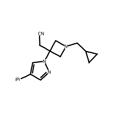 CC(C)c1cnn(C2(CC#N)CN(CC3CC3)C2)c1